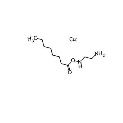 CCCCCCCC(=O)ONCCN.[Cu]